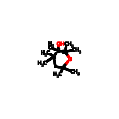 CC1(C)C[Si](C)(C)[Si](C)(O)[Si](C)(C)O1